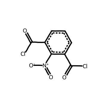 O=C(Cl)c1cccc(C(=O)Cl)c1[N+](=O)[O-]